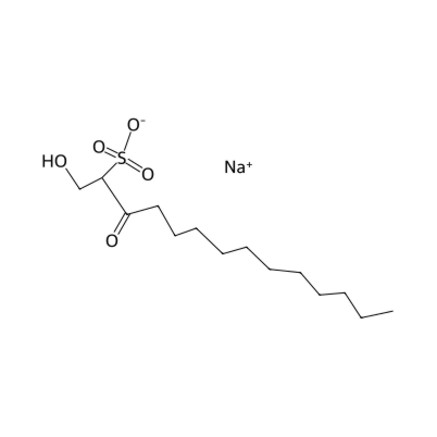 CCCCCCCCCCCC(=O)C(CO)S(=O)(=O)[O-].[Na+]